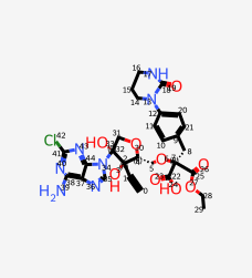 C#C[C@@]1(O)[C@@H](CO[C@](Cc2ccc(N3CCCNC3=O)cc2)(C(=O)O)C(=O)OCC)OC[C@]1(O)n1cnc2c(N)nc(Cl)nc21